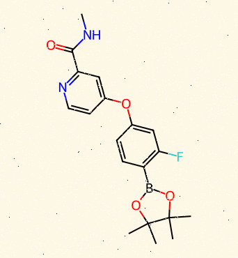 CNC(=O)c1cc(Oc2ccc(B3OC(C)(C)C(C)(C)O3)c(F)c2)ccn1